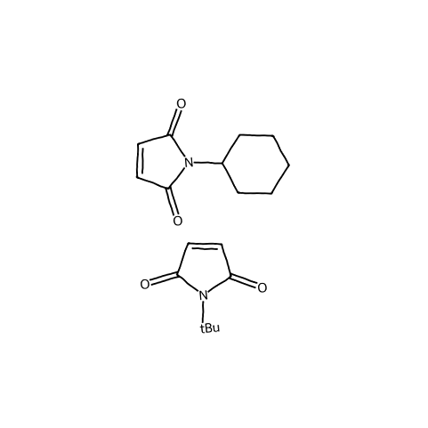 CC(C)(C)N1C(=O)C=CC1=O.O=C1C=CC(=O)N1C1CCCCC1